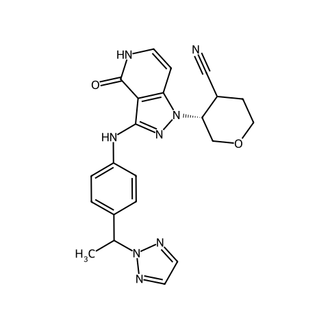 CC(c1ccc(Nc2nn([C@H]3COCCC3C#N)c3cc[nH]c(=O)c23)cc1)n1nccn1